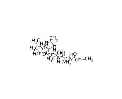 C=CCOC(=O)NC[C@H](N)C(=O)NC(C)(C)C(=O)N[C@@H](CC(C)C)C(=O)N[C@H](C(=O)O)[C@@H](C)CC